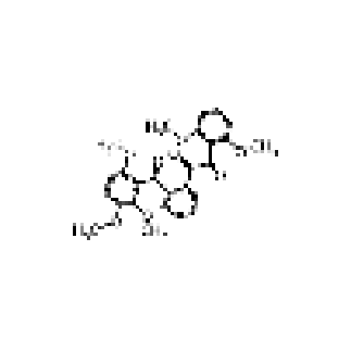 COc1ccc(OC)c(C(=O)c2ccccc2[P](=O)C(=O)c2c(OC)cccc2OC)c1OC